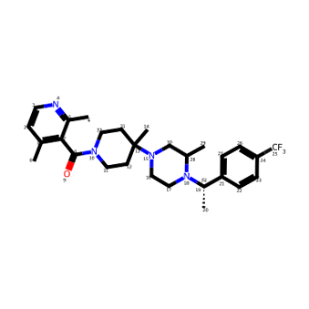 Cc1ccnc(C)c1C(=O)N1CCC(C)(N2CCN([C@@H](C)c3ccc(C(F)(F)F)cc3)C(C)C2)CC1